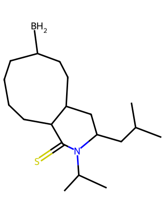 BC1CCCCC2C(=S)N(C(C)C)C(CC(C)C)CC2CC1